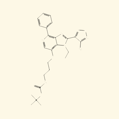 CCn1c(-c2nonc2N)nc2c(-c3ccccc3)ncc(OCCCNC(=O)OC(C)(C)C)c21